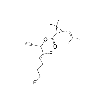 C#CC(OC(=O)C1C(C=C(C)C)C1(C)C)/C(F)=C/CCCF